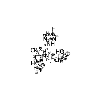 N#CC1CCN(c2c(CCNc3ncnc4[nH]cnc34)cc(Cl)c3cccnc23)CC1.O=C(O)C(F)(F)F.O=C(O)C(F)(F)F